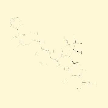 CCCC(NC(=O)[C@@H]1[C@@H]2[C@H](CN1C(=O)[C@@H](NC(=O)N[C@H](CN(C)S(=O)(=O)c1cccs1)C(C)(C)C)C(C)(C)C)C2(C)C)C(=O)C(N)=O